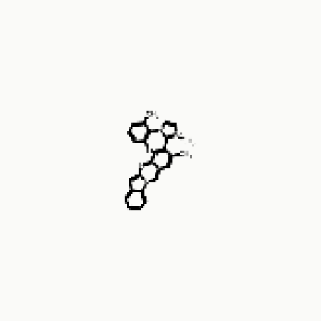 Cc1cc2cn3c(cc4ccccc43)nc2cc1-c1n(-c2c(C)cccc2C)cc[n+]1C